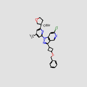 CO[C@@]1(c2cc(C)cc(-n3nc(C4CC(OCc5ccccc5)C4)c4cnc(Cl)cc43)n2)CCOC1